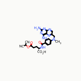 CN(Cc1cnc2nc(N)nc(N)c2n1)c1ccc(C(=O)N[C@@H](CCC(=O)OC(C#N)C#N)C(=O)O)cc1